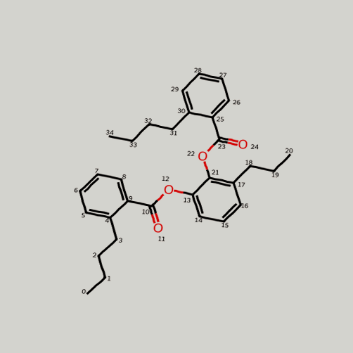 CCCCc1ccccc1C(=O)Oc1cccc(CCC)c1OC(=O)c1ccccc1CCCC